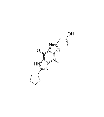 CCn1c2nc(C3CCCC3)[nH]c2c(=O)n2nc(CC(=O)O)nc12